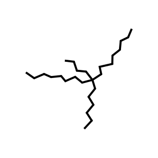 CCCCCCCCC(CCCC)(CCCCCC)CCCCCCCC